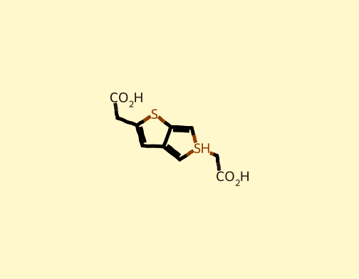 O=C(O)Cc1cc2c(s1)=C[SH](CC(=O)O)C=2